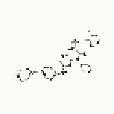 Cc1ccccc1Nc1cc2nnc(Nc3ccc(N4CCNCC4)cc3)nc2n(C2CCCC2)c1=O